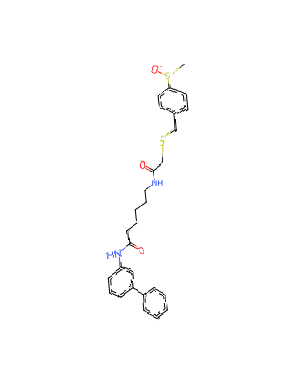 C[S+]([O-])c1ccc(CSCC(=O)NCCCCCC(=O)Nc2cccc(-c3ccccc3)c2)cc1